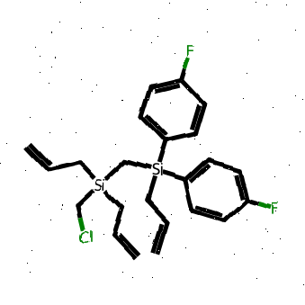 C=CC[Si](CCl)(CC=C)C[Si](CC=C)(c1ccc(F)cc1)c1ccc(F)cc1